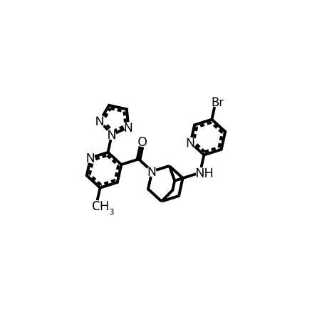 Cc1cnc(-n2nccn2)c(C(=O)N2CC3CCC2C(Nc2ccc(Br)cn2)C3)c1